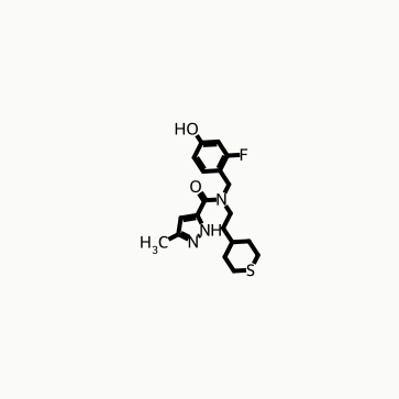 Cc1cc(C(=O)N(CCC2CCSCC2)Cc2ccc(O)cc2F)[nH]n1